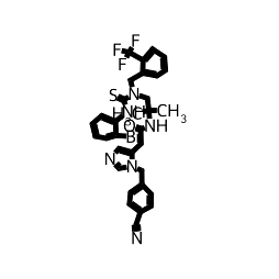 CC(C)(CN(Cc1ccccc1C(F)(F)F)C(=S)Nc1ccccc1Br)NC(=O)Cc1cncn1Cc1ccc(C#N)cc1